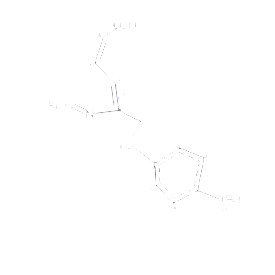 C=N/C(=C\C=C/C)COc1ccc(C(C)(C)C)cc1